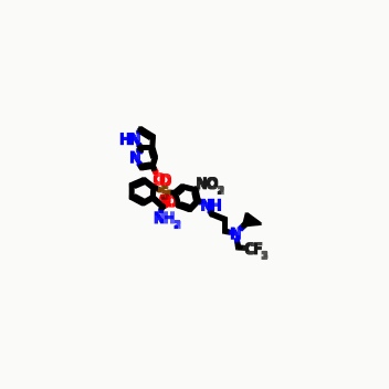 NC(=O)C1C=CC=CC1(Oc1cnc2[nH]ccc2c1)S(=O)(=O)c1ccc(NCCCN(CC(F)(F)F)C2CC2)c([N+](=O)[O-])c1